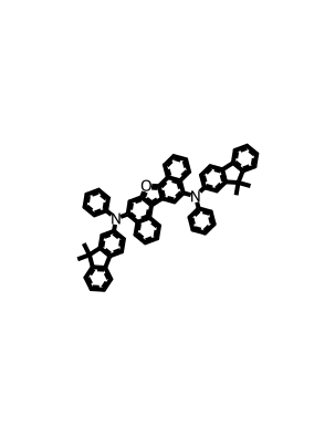 CC1(C)c2ccccc2-c2ccc(N(c3ccccc3)c3cc4c(oc5cc(N(c6ccccc6)c6ccc7c(c6)C(C)(C)c6ccccc6-7)c6ccccc6c54)c4ccccc34)cc21